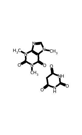 Cn1c(=O)c2c(ncn2C)n(C)c1=O.O=C1CC(=O)NC(=O)N1